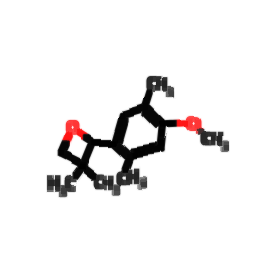 COc1cc(C)c(C2OCC2(C)C)cc1C